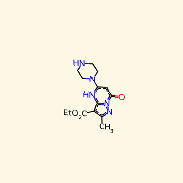 CCOC(=O)c1c(C)nn2c(=O)cc(N3CCNCC3)[nH]c12